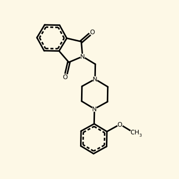 COc1ccccc1N1CCN(CN2C(=O)c3ccccc3C2=O)CC1